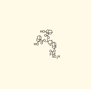 O=C(OCC1(COC(=O)C23CC4CC(CC(O)(C4)C2)C3)CSC2(SC1)C1CC3CC2CC(OC(=O)C(F)(F)S(=O)(=O)O)(C3)C1)C12CC3CC(CC(O)(C3)C1)C2